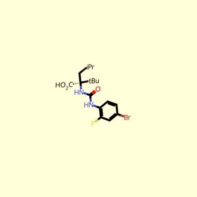 CC(C)C[C@@](NC(=O)Nc1ccc(Br)cc1F)(C(=O)O)C(C)(C)C